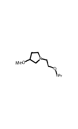 CCCOCCN1CCC(OC)C1